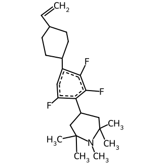 C=CC1CCC(c2cc(F)c(C3CC(C)(C)N(C)C(C)(C)C3)c(F)c2F)CC1